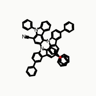 N#Cc1cc(-n2c3ccc(-c4ccccc4)cc3c3cc(-c4ccccc4)ccc32)c(-n2c3ccc(-c4ccccc4)cc3c3cc(-c4ccccc4)ccc32)c2c3ccccc3n(-c3ccccc3)c12